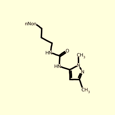 CCCCCCCCCCCCNC(=O)Nc1cc(C)nn1C